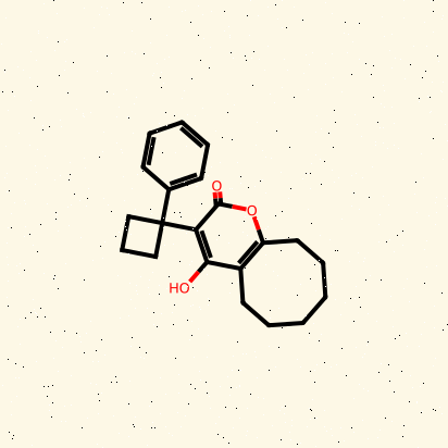 O=c1oc2c(c(O)c1C1(c3ccccc3)CCC1)CCCCCC2